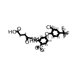 O=C(O)CCC(=O)NNc1cc(Oc2ccc(C(F)(F)F)cc2Cl)ccc1[N+](=O)[O-]